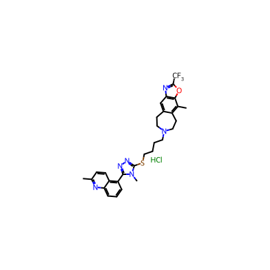 Cc1ccc2c(-c3nnc(SCCCCN4CCc5cc6nc(C(F)(F)F)oc6c(C)c5CC4)n3C)cccc2n1.Cl